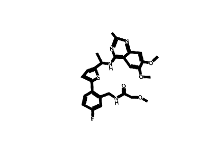 COCC(=O)NCc1cc(F)ccc1-c1ccc(C(C)Nc2nc(C)nc3cc(OC)c(OC)cc23)s1